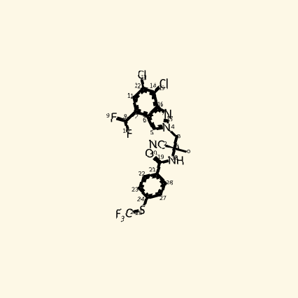 C[C@@](C#N)(Cn1cc2c(C(F)F)cc(Cl)c(Cl)c2n1)NC(=O)c1ccc(SC(F)(F)F)cc1